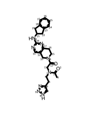 CC(=O)N(CCc1c[nH]nn1)CC(=O)N1CCc2nc(NC3Cc4ccccc4C3)ncc2C1